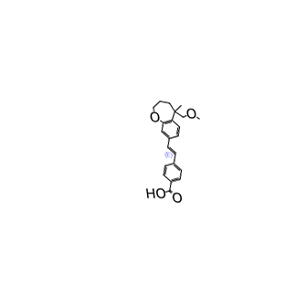 COCC1(C)CCCOc2cc(/C=C/c3ccc(C(=O)O)cc3)ccc21